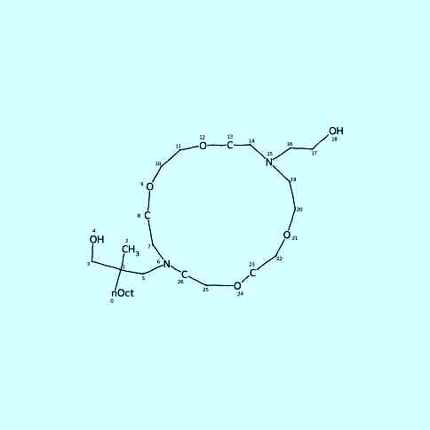 CCCCCCCCC(C)(CO)CN1CCOCCOCCN(CCO)CCOCCOCC1